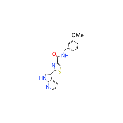 COc1cccc(CNC(=O)c2csc(-c3c[nH]c4ncccc34)n2)c1